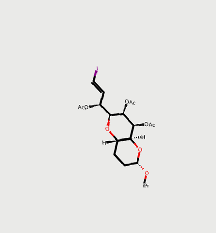 CC(=O)O[C@@H]1[C@H](OC(C)=O)[C@H]([C@H](/C=C/I)OC(C)=O)O[C@H]2CC[C@@H](OC(C)C)O[C@H]12